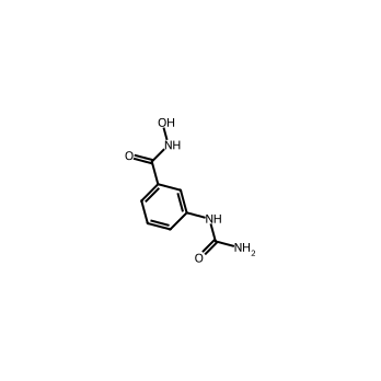 NC(=O)Nc1cccc(C(=O)NO)c1